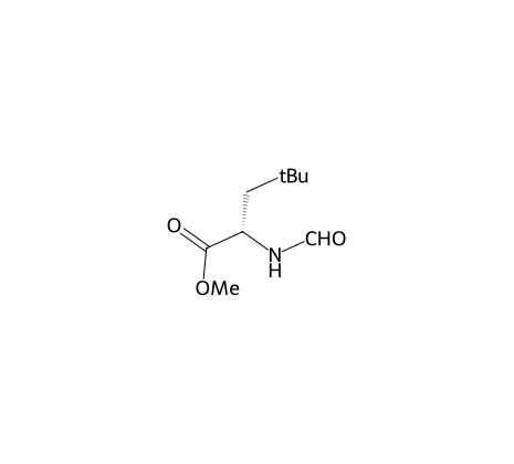 COC(=O)[C@H](CC(C)(C)C)NC=O